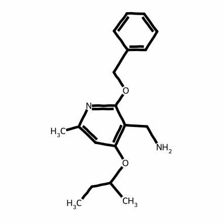 CCC(C)Oc1cc(C)nc(OCc2ccccc2)c1CN